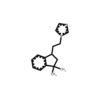 CC1(C)CC(CCn2ccnc2)c2ccccc21